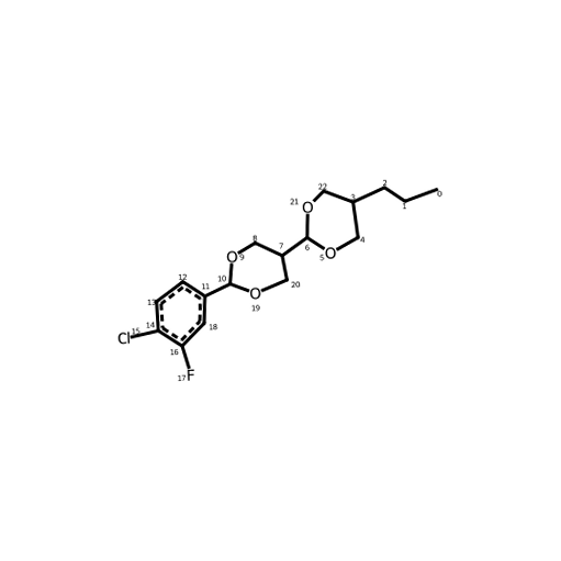 CCCC1COC(C2COC(c3ccc(Cl)c(F)c3)OC2)OC1